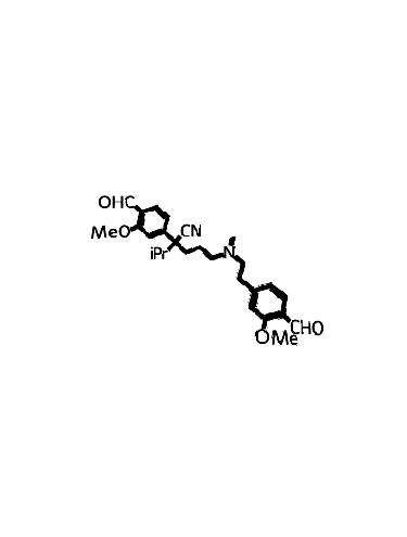 COc1cc(CCN(C)CCCC(C#N)(c2ccc(C=O)c(OC)c2)C(C)C)ccc1C=O